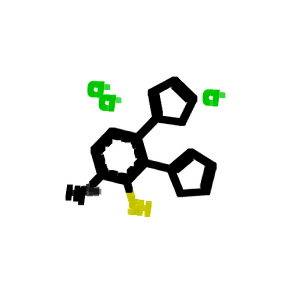 Sc1[c]([Hf+3])ccc(C2=CC=CC2)c1C1=CC=CC1.[Cl-].[Cl-].[Cl-]